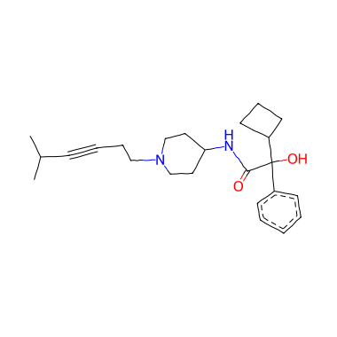 CC(C)C#CCCN1CCC(NC(=O)C(O)(c2ccccc2)C2CCC2)CC1